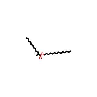 CCCCCCCCCCCCCCOC(=O)C(C)CCCCCCCCCC